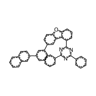 c1ccc(-c2nc(-c3ccccc3)nc(-c3cccc4oc5ccc(-c6cccc(-c7ccc8ccccc8c7)c6)cc5c34)n2)cc1